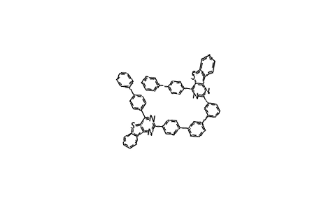 c1ccc(-c2ccc(-c3nc(-c4ccc(-c5cccc(-c6cccc(-c7nc(-c8ccc(-c9ccccc9)cc8)c8sc9ccccc9c8n7)c6)c5)cc4)nc4c3sc3ccccc34)cc2)cc1